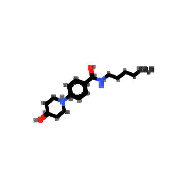 O=C(O)CCCCNC(=O)c1ccc(N2CCC(=O)CC2)cc1